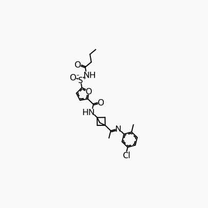 CCCC(=O)N[S+]([O-])c1ccc(C(=O)NC23CC(/C(C)=N/c4cc(Cl)ccc4C)(C2)C3)o1